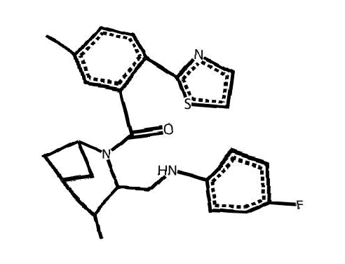 Cc1ccc(-c2nccs2)c(C(=O)N2C3CC(C3)C(C)C2CNc2ccc(F)cc2)c1